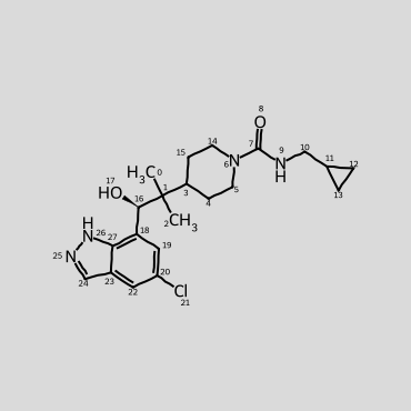 CC(C)(C1CCN(C(=O)NCC2CC2)CC1)[C@H](O)c1cc(Cl)cc2cn[nH]c12